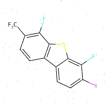 Fc1c(I)ccc2c1sc1c(F)c(C(F)(F)F)ccc12